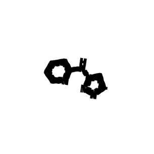 [c]1cn(Nc2ccccn2)nn1